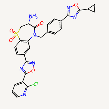 N[C@H]1CS(=O)(=O)c2ccc(-c3noc(-c4cccnc4Cl)n3)cc2N(Cc2ccc(-c3noc(C4CC4)n3)cc2)C1=O